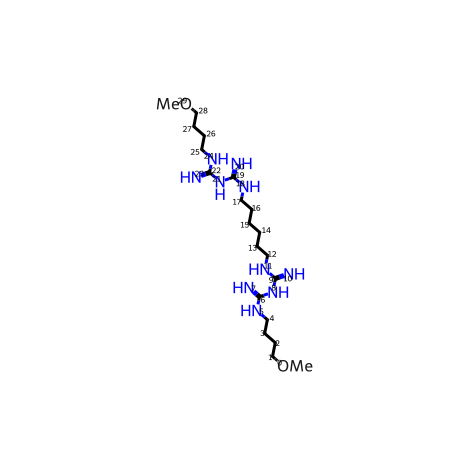 COCCCCNC(=N)NC(=N)NCCCCCCNC(=N)NC(=N)NCCCCOC